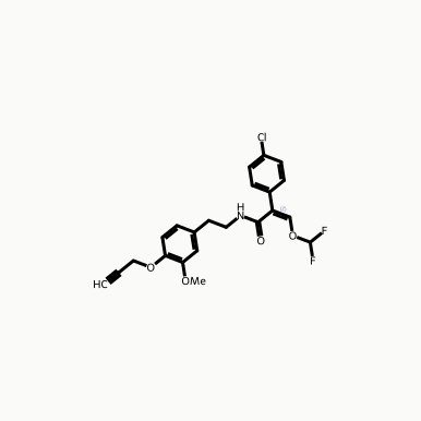 C#CCOc1ccc(CCNC(=O)/C(=C\OC(F)F)c2ccc(Cl)cc2)cc1OC